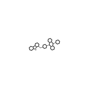 c1ccc(-c2c3ccccc3c(-c3ccc(Cc4cccc5c4sc4ccccc45)cc3)c3ccccc23)cc1